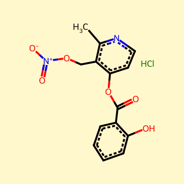 Cc1nccc(OC(=O)c2ccccc2O)c1CO[N+](=O)[O-].Cl